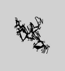 CC(C)c1ccnc(-c2nc3nc(C#N)nc(NCCC4CCC4)c3n2CC2CCC(C)(C)CC2)c1